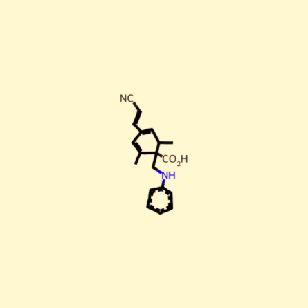 CC1=CC(C=CC#N)=CC(C)C1(CNc1ccccc1)C(=O)O